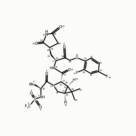 CC(C)(C)[C@H](NS(=O)(=O)C(F)(F)F)C(=O)N1C[C@H]2[C@@H]([C@H]1C(=O)N[C@@H](C[C@@H]1CC(=O)NC1=O)C(=O)COc1ccc(F)cc1F)C2(C)C